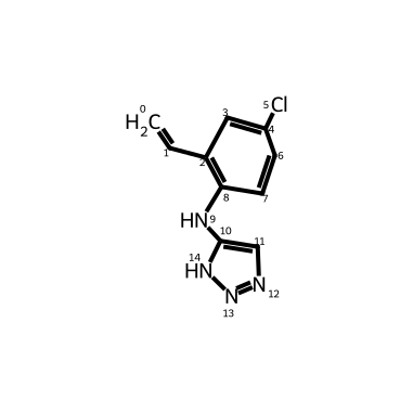 C=Cc1cc(Cl)ccc1Nc1cnn[nH]1